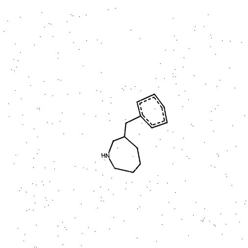 c1ccc(CC2CCCCNC2)cc1